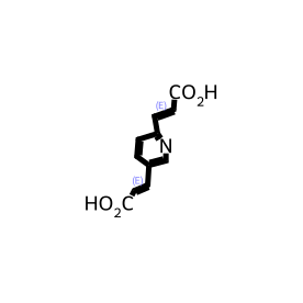 O=C(O)/C=C/c1ccc(/C=C/C(=O)O)nc1